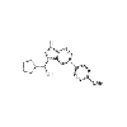 CNc1ccc(-c2cnc3[nH]cc(C(O)C4CCCC4)c3c2)cc1